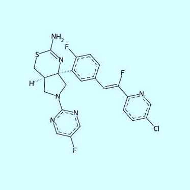 NC1=N[C@@]2(c3cc(/C=C(\F)c4ccc(Cl)cn4)ccc3F)CN(c3ncc(F)cn3)C[C@H]2CS1